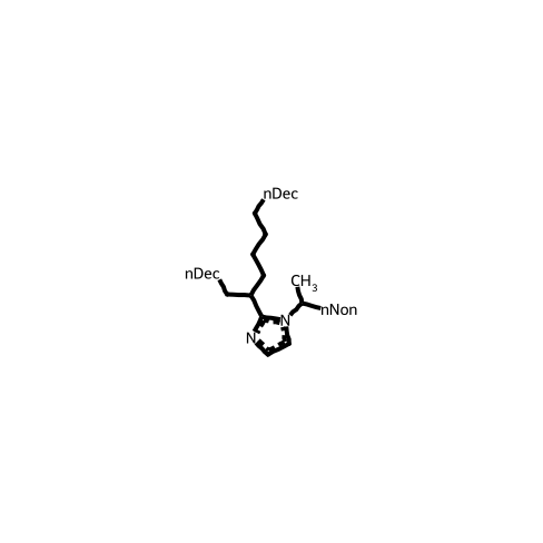 CCCCCCCCCCCCCCC(CCCCCCCCCCC)c1nccn1C(C)CCCCCCCCC